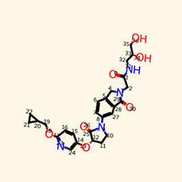 O=C(CN1Cc2ccc(N3CC[C@@H](Oc4ccc(OCC5CC5)nc4)C3=O)cc2C1=O)NC[C@H](O)CO